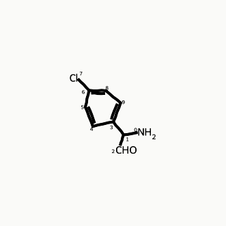 NC(C=O)c1ccc(Cl)cc1